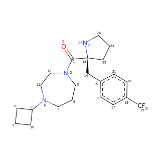 O=C(N1CCCN(C2CCC2)CC1)[C@@]1(Cc2ccc(C(F)(F)F)cc2)CCCN1